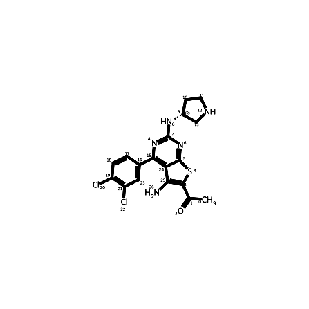 CC(=O)c1sc2nc(N[C@@H]3CCNC3)nc(-c3ccc(Cl)c(Cl)c3)c2c1N